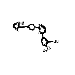 CC(C)Oc1ccc(-c2ccnc(N3CCC(c4ncc[nH]4)CC3)n2)cc1C(C)(C)C